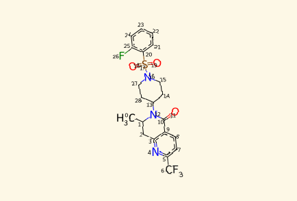 CC1Cc2nc(C(F)(F)F)ccc2C(=O)N1C1CCN(S(=O)(=O)c2ccccc2F)CC1